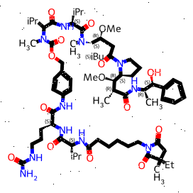 CC[C@H](C)[C@@H]([C@@H](CC(=O)N1CCC[C@H]1[C@H](OC)[C@@H](C)C(=O)N[C@H](C)[C@@H](O)c1ccccc1)OC)N(C)C(=O)[C@@H](NC(=O)C(C(C)C)N(C)C(=O)OCc1ccc(NC(=O)[C@H](CCCNC(N)=O)NC(=O)[C@@H](NC(=O)CCCCCN2C(=O)CC(C)(CC)C2=O)C(C)C)cc1)C(C)C